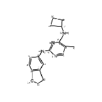 Cc1cnc(Nc2ccc3c(c2)CCO3)nc1NC1CCC1